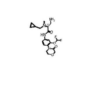 CN(CC1CC1)[C@@H](CN)C(=O)Nc1ccc(N2CCOCC2=O)c(OC(F)F)c1